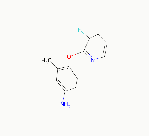 CC1=C(OC2=NC=CCC2F)CCC(N)=C1